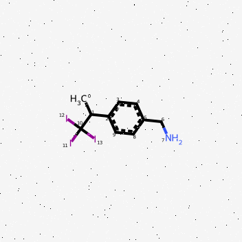 CC(c1ccc(CN)cc1)C(I)(I)I